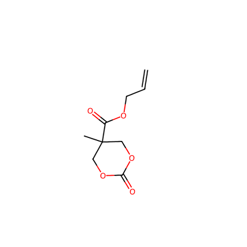 C=CCOC(=O)C1(C)COC(=O)OC1